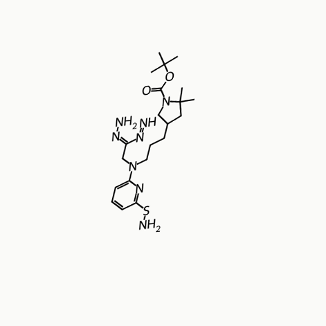 CC(C)(C)OC(=O)N1CC(CCCN(C/C(N=N)=N/N)c2cccc(SN)n2)CC1(C)C